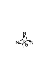 CC(C#N)P(=O)(C(C)C#N)C(C)C#N